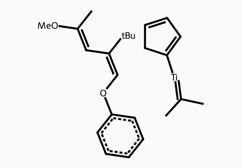 COC(C)=CC(=COc1ccccc1)C(C)(C)C.C[C](C)=[Ti][C]1=CC=CC1